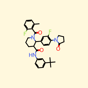 Cc1cccc(F)c1C(=O)N1CCCC(C(=O)Nc2cccc(C(C)(C)C)c2)C1c1ccc(N2CCCC2=O)c(F)c1